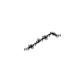 O=C(NCCSCC/N=C/[S+]([O-])CCSCCSC(=O)NCCSCC/N=C\OOCCO)OCCO